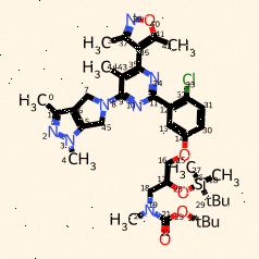 Cc1nn(C)c2c1CN(c1nc(-c3cc(OCC(CN(C)C(=O)OC(C)(C)C)O[Si](C)(C)C(C)(C)C)ccc3Cl)nc(-c3c(C)noc3C)c1C)C2